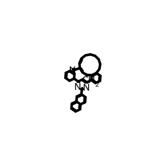 C=C1/C=C(C#N)\C=C/CCCCCCc2cccc(-c3cc(C4C=CC=CC4)nc(-c4ccc5ccccc5c4)n3)c21